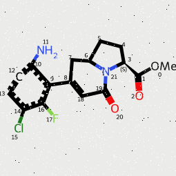 COC(=O)[C@@H]1CCC2CC(c3c(N)ccc(Cl)c3F)=CC(=O)N21